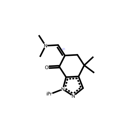 CC(C)n1ncc2c1C(=O)/C(=C\N(C)C)CC2(C)C